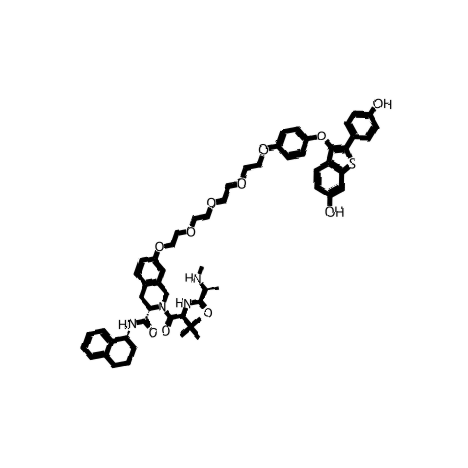 CN[C@@H](C)C(=O)NC(C(=O)N1Cc2cc(OCCOCCOCCOCCOc3ccc(Oc4c(-c5ccc(O)cc5)sc5cc(O)ccc45)cc3)ccc2C[C@H]1C(=O)N[C@@H]1CCCc2ccccc21)C(C)(C)C